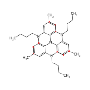 CCCCN(CCCC)c1ccccc1N(c1ccccc1N(CCCC)CCCC)c1ccccc1N(CCCC)CCCC